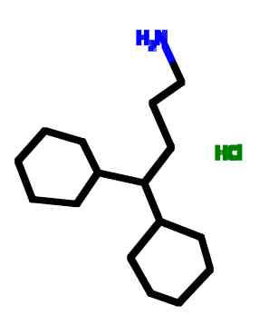 Cl.NCCCC(C1CCCCC1)C1CCCCC1